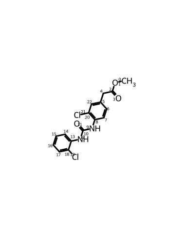 COC(=O)Cc1ccc(NC(=O)Nc2ccccc2Cl)c(Cl)c1